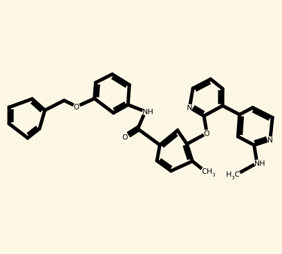 CNc1cc(-c2cccnc2Oc2cc(C(=O)Nc3cccc(OCc4ccccc4)c3)ccc2C)ccn1